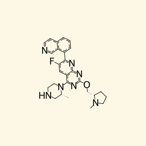 C[C@@H]1CNCCN1c1nc(OC[C@@H]2CCCN2C)nc2nc(-c3cccc4ccncc34)c(F)cc12